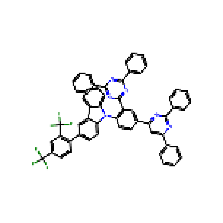 FC(F)(F)c1ccc(-c2ccc3c(c2)c2ccccc2n3-c2ccc(-c3cc(-c4ccccc4)nc(-c4ccccc4)n3)cc2-c2nc(-c3ccccc3)nc(-c3ccccc3)n2)c(C(F)(F)F)c1